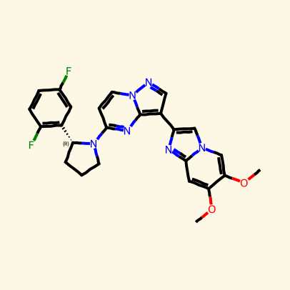 COc1cc2nc(-c3cnn4ccc(N5CCC[C@@H]5c5cc(F)ccc5F)nc34)cn2cc1OC